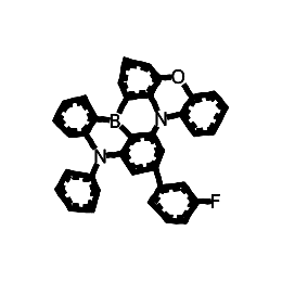 Fc1cccc(-c2cc3c4c(c2)N2c5ccccc5Oc5cccc(c52)B4c2ccccc2N3c2ccccc2)c1